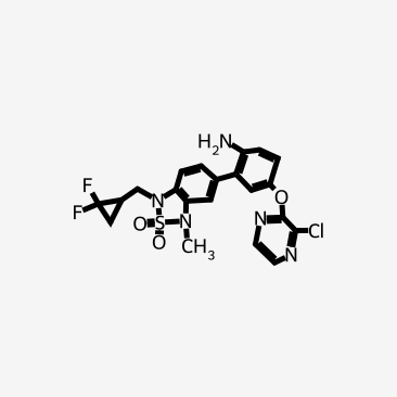 CN1c2cc(-c3cc(Oc4nccnc4Cl)ccc3N)ccc2N(CC2CC2(F)F)S1(=O)=O